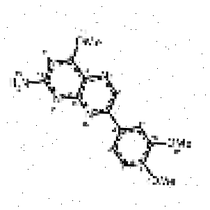 COc1ccc(-c2cnc3c(OC)nc(N)nc3n2)cc1OC